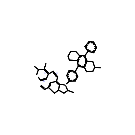 C=CC1=CC(\C=C/C(/C=C\C)=C(\C)C(C)C)=C2C(C1)CC(C)N2c1ccc(-c2c3c(c(-c4ccccc4)c4c2CCC(C)C4)CCCC3)cc1